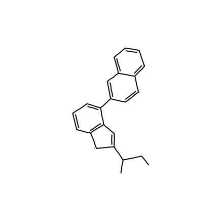 CCC(C)C1=Cc2c(cccc2-c2ccc3ccccc3c2)[CH]1